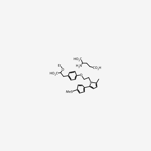 CCOC(Cc1ccc(OCCn2c(C)ccc2-c2ccc(SC)cc2)cc1)C(=O)O.NC(CCC(=O)O)C(=O)O